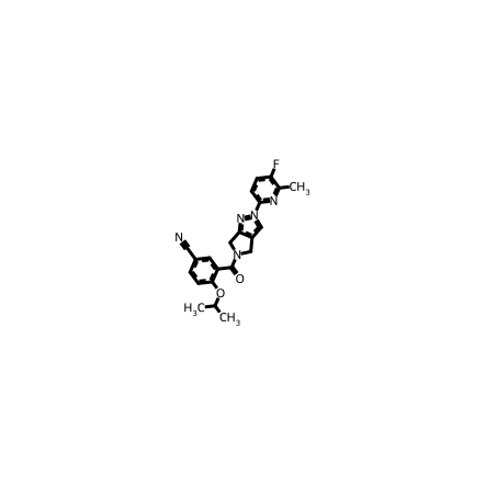 Cc1nc(-n2cc3c(n2)CN(C(=O)c2cc(C#N)ccc2OC(C)C)C3)ccc1F